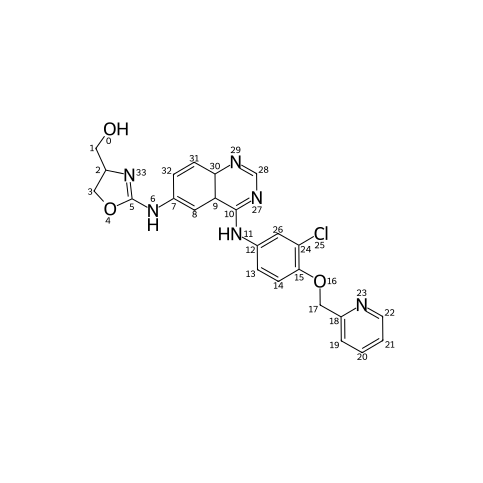 OCC1COC(NC2=CC3C(Nc4ccc(OCc5ccccn5)c(Cl)c4)=NC=NC3C=C2)=N1